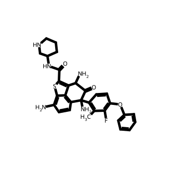 Cc1c(C2(N)C(=O)C(N)c3c(C(=O)NC4CCCNC4)sc4c(N)ccc2c34)ccc(Oc2ccccc2)c1F